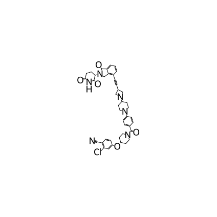 N#Cc1ccc(OC2CCN(C(=O)c3ccc(N4CCC(N5CC(C#Cc6cccc7c6CN(C6CCC(=O)NC6=O)C7=O)C5)CC4)cc3)CC2)cc1Cl